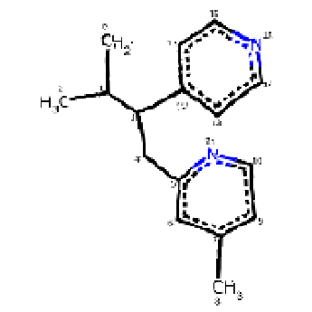 [CH2]C(C)C(Cc1cc(C)ccn1)c1ccncc1